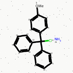 COc1ccc(C(Cl)(c2ccccc2)c2ccccc2)cc1.N